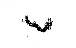 N#Cc1ccc(O[C@H]2CC[C@H](N3Cc4cc(N5CCC(CN6CCc7cc8c(cc7C6)C(=O)N(C6CCC(=O)NC6=O)C8=O)CC5)ccc4C3=O)CC2)cc1Cl